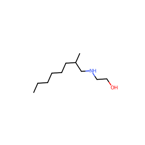 CCCCCCC(C)CNCCO